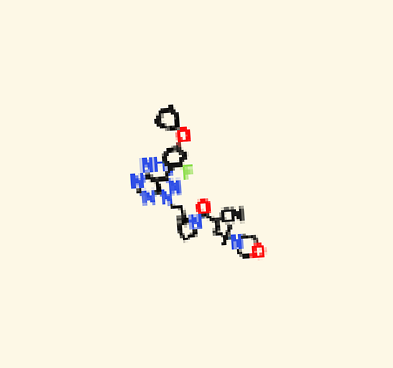 CC(C)(C=C(C#N)C(=O)N1CCC[C@H]1CCn1nc(-c2ccc(Oc3ccccc3)cc2F)c2c(N)ncnc21)N1CCOCC1